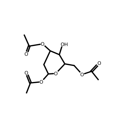 CC(=O)OCC1OC(OC(C)=O)CC(OC(C)=O)C1O